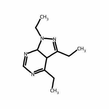 CCC1=NC=NC2C1C(CC)=NN2CC